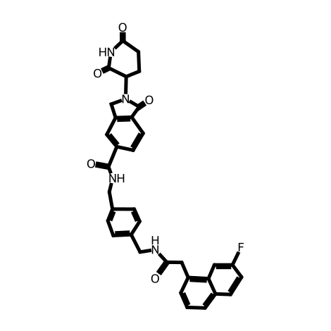 O=C(Cc1cccc2ccc(F)cc12)NCc1ccc(CNC(=O)c2ccc3c(c2)CN(C2CCC(=O)NC2=O)C3=O)cc1